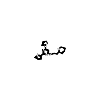 C1=CC(CCNc2cc(-n3cccn3)nc(-c3cccs3)n2)=NCC1